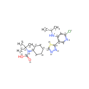 CC(C)Nc1cc(Cl)ncc1-c1nnc([C@H]2CC[C@H](N(C(=O)O)C(C)(C)C)CC2)s1